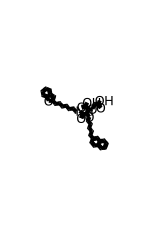 O=C(O)COC(C(=O)O)C(OCCCCCc1ccc2ccccc2c1)C(=O)NCCCCCCCc1cc2ccccc2o1